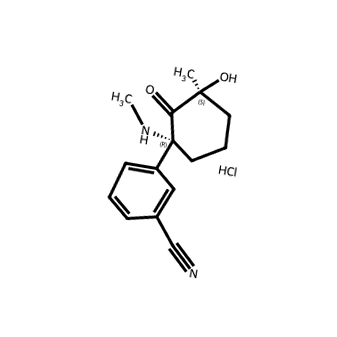 CN[C@@]1(c2cccc(C#N)c2)CCC[C@](C)(O)C1=O.Cl